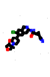 CC1(N2CCC(c3cc4cc(NC(=O)C5CC5C#N)ncc4cc3Cl)CC2)COCC1O